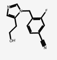 N#Cc1ccc(Cn2cncc2CCO)c(F)c1